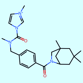 CN(Cc1ccc(C(=O)N2CC3(C)CC2CC(C)(C)C3)cc1)C(=O)n1cc[n+](C)c1